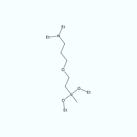 CCO[Si](C)(CCOCCCN(CC)CC)OCC